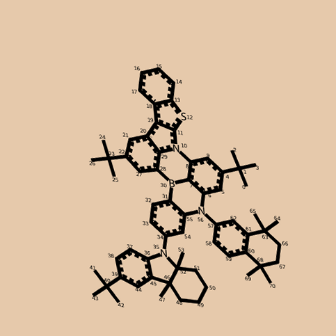 CC(C)(C)c1cc2c3c(c1)-n1c4sc5ccccc5c4c4cc(C(C)(C)C)cc(c41)B3c1ccc(N3c4ccc(C(C)(C)C)cc4C4(C)CCCCC34C)cc1N2c1ccc2c(c1)C(C)(C)CCC2(C)C